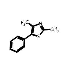 Cc1nc(C(F)(F)F)c(-c2ccccc2)s1